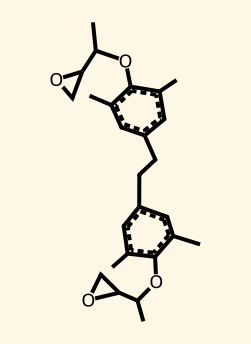 Cc1cc(CCc2cc(C)c(OC(C)C3CO3)c(C)c2)cc(C)c1OC(C)C1CO1